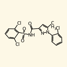 Cc1cc(C(=O)NS(=O)(=O)c2c(Cl)cccc2Cl)nn1-c1ccccc1Cl